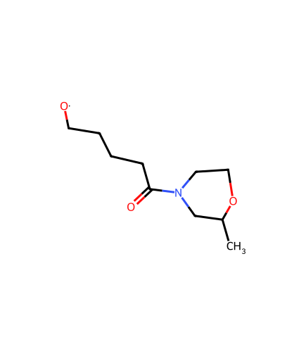 CC1CN(C(=O)CCCC[O])CCO1